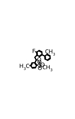 COS(=O)(=O)c1ccc(C)cc1C1Cc2c(F)ccc(-c3ccccc3C)c2O1